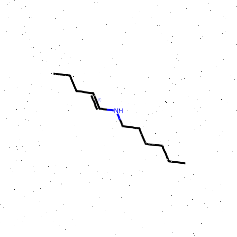 [CH2]CC/C=C/NCCCCCC